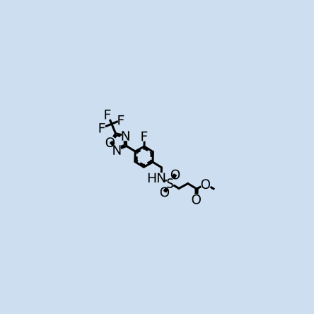 COC(=O)CCS(=O)(=O)NCc1ccc(-c2noc(C(F)(F)F)n2)c(F)c1